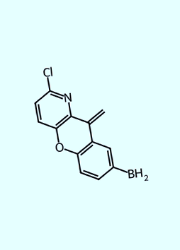 Bc1ccc2c(c1)C(=C)c1nc(Cl)ccc1O2